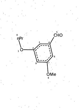 CCCOc1cc(C=O)cc(OC)c1